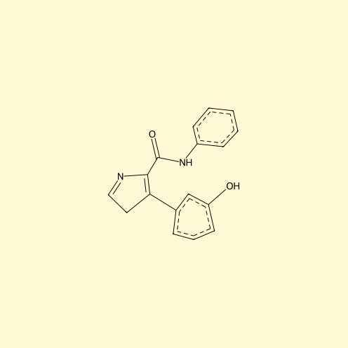 O=C(Nc1ccccc1)C1=C(c2cccc(O)c2)CC=N1